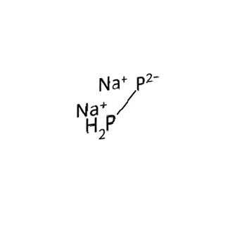 [Na+].[Na+].[P-2]P